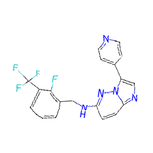 Fc1c(CNc2ccc3ncc(-c4ccncc4)n3n2)cccc1C(F)(F)F